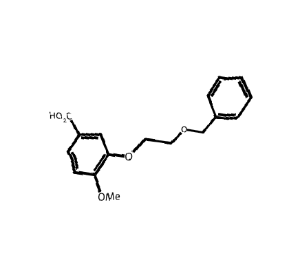 COc1ccc(C(=O)O)cc1OCCOCc1ccccc1